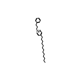 CCCCCCCCCCCCCc1cc[n+](CCCc2ccccc2)cc1